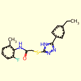 CCc1ccc(-c2nnc(SCC(=O)Nc3c(C)cccc3F)[nH]2)cc1